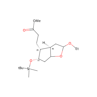 CCOC1C[C@H]2C(C[C@H](O[Si](C)(C)C(C)(C)C)[C@@H]2CCC(=O)OC)O1